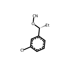 CC[C@@H](OC#N)c1cccc(Cl)c1